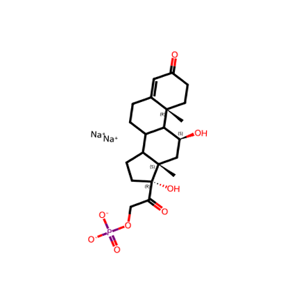 C[C@]12CCC(=O)C=C1CCC1C2[C@@H](O)C[C@@]2(C)C1CC[C@]2(O)C(=O)COP(=O)([O-])[O-].[Na+].[Na+]